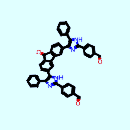 O=Cc1ccc(-c2nc(-c3ccc4c(c3)-c3cc(-c5[nH]c(-c6ccc(C=O)cc6)nc5-c5ccccc5)ccc3C4=O)c(-c3ccccc3)[nH]2)cc1